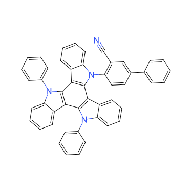 N#Cc1cc(-c2ccccc2)ccc1-n1c2ccccc2c2c3c(c4ccccc4n3-c3ccccc3)c3c(c4ccccc4n3-c3ccccc3)c21